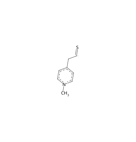 C[n+]1ccc(C[C]=S)cc1